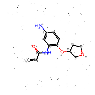 C=CC(=O)Nc1cc(N)ccc1OC1CCOC1